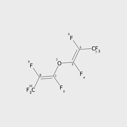 F/C(O/C(F)=C(\F)C(F)(F)F)=C(/F)C(F)(F)F